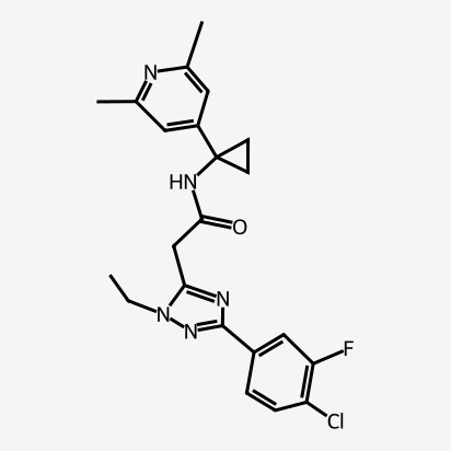 CCn1nc(-c2ccc(Cl)c(F)c2)nc1CC(=O)NC1(c2cc(C)nc(C)c2)CC1